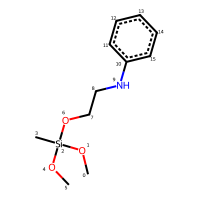 CO[Si](C)(OC)OCCNc1ccccc1